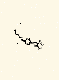 C#CCCCOCC1CCC(n2cc([N+](=O)[O-])c(C(F)F)n2)CC1